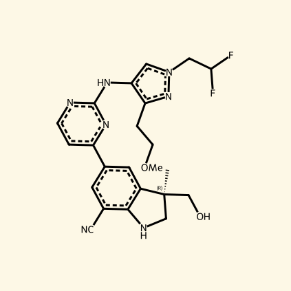 COCCc1nn(CC(F)F)cc1Nc1nccc(-c2cc(C#N)c3c(c2)[C@@](C)(CO)CN3)n1